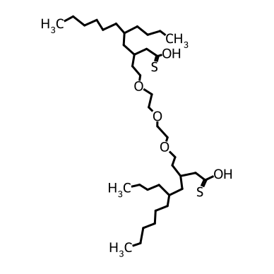 CCCCCCC(CCCC)CC(CCOCCOCCOCCC(CC(O)=S)CC(CCCC)CCCCCC)CC(O)=S